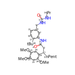 CCCCCC(CC(=O)Nc1cc(CNC(=O)NC(C)C)ccc1C(C)(C)C)c1cc(OC)c(OC)cc1OC